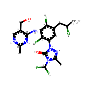 CCOC(=O)C(Cl)Cc1cc(-n2nc(C)n(C(F)F)c2=O)c(F)cc1Cl.Cc1ncc(CO)c(N)n1